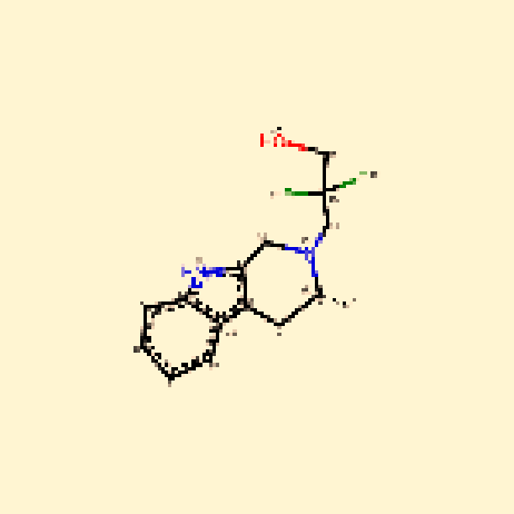 C[C@@H]1Cc2c([nH]c3ccccc23)CN1CC(F)(F)CO